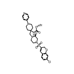 CCCOC(=O)NC1(CN2CCN(S(=O)(=O)C3=Cc4ccc(Cl)cc4OC3)CC2=O)CCN(c2ccncc2)CC1